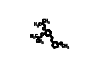 COc1[c]ccc(C=[C]c2ccc(OCC(C)C)c(OCC(C)C)c2)c1